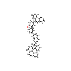 c1ccc2c(c1)cc(-c1ccc3oc4ccc(-c5ccc6ccc(-c7cc8ccc9ccc%10ccccc%10c9c8c8ccccc78)cc6c5)cc4c3c1)c1ccccc12